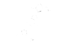 CC(C)Nc1cc(-c2cc3n(c2)CCN(Cc2ccc(Cl)cc2CO)C3=O)c(Cl)cn1